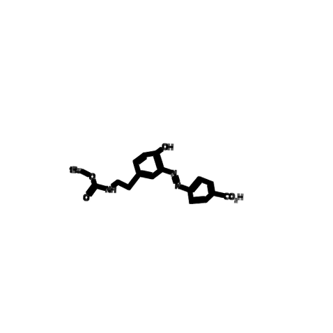 CC(C)(C)OC(=O)NCCc1ccc(O)c(N=Nc2ccc(C(=O)O)cc2)c1